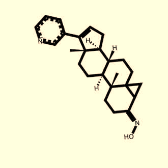 C[C@]12CC[C@H]3[C@@H](CCC45CC4C(=NO)CC[C@]35C)[C@@H]1CC=C2c1cccnc1